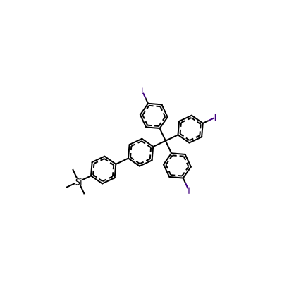 C[Si](C)(C)c1ccc(-c2ccc(C(c3ccc(I)cc3)(c3ccc(I)cc3)c3ccc(I)cc3)cc2)cc1